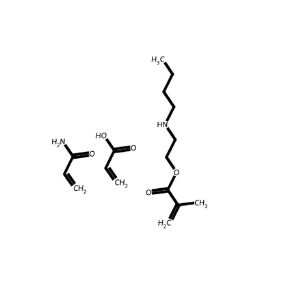 C=C(C)C(=O)OCCNCCCC.C=CC(=O)O.C=CC(N)=O